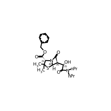 CCCN(CCC)C(=O)[C@@H](O)[C@@H]1C(=O)N2[C@@H]1SC(C)(C)[C@@H]2C(=O)OCc1ccccc1